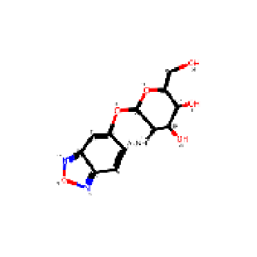 CC(=O)NC1C(Oc2ccc3nonc3c2)OC(CO)C(O)C1O